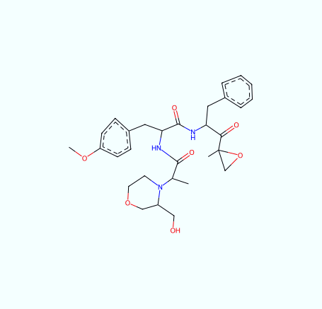 COc1ccc(CC(NC(=O)C(C)N2CCOCC2CO)C(=O)NC(Cc2ccccc2)C(=O)C2(C)CO2)cc1